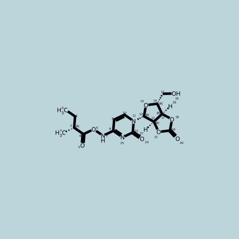 CC[C@@H](C)C(=O)ONc1ccn([C@@H]2O[C@H](CO)[C@H]3OC(=O)O[C@H]32)c(=O)n1